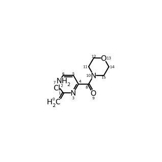 C=C(Cl)/N=C(\C=C/N)C(=O)N1CCOCC1